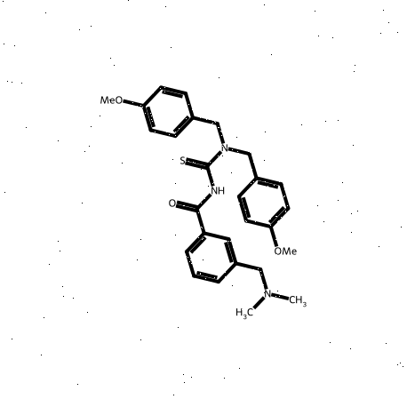 COc1ccc(CN(Cc2ccc(OC)cc2)C(=S)NC(=O)c2cccc(CN(C)C)c2)cc1